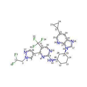 FC(F)Cn1cc(-c2nc(N[C@@H]3CCC[C@H](n4cnc5cc(C6CC6)cnc54)C3)ncc2C(F)(F)F)cn1